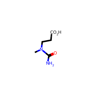 CN(CCC(=O)O)C(N)=O